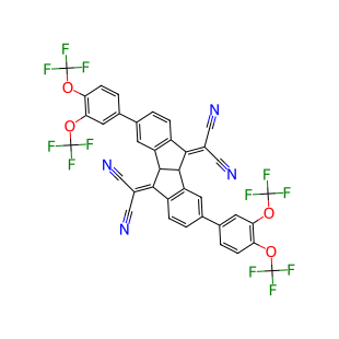 N#CC(C#N)=C1c2ccc(-c3ccc(OC(F)(F)F)c(OC(F)(F)F)c3)cc2C2C(=C(C#N)C#N)c3ccc(-c4ccc(OC(F)(F)F)c(OC(F)(F)F)c4)cc3C12